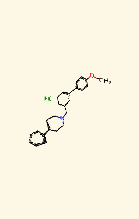 COc1ccc(C2=CCCC(CN3CC=C(c4ccccc4)CC3)C2)cc1.Cl